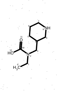 CCN(CC1CCCNC1)C(=O)O